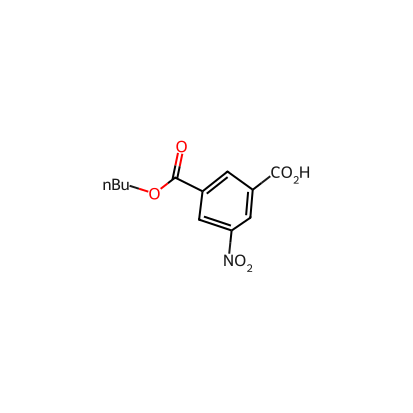 CCCCOC(=O)c1cc(C(=O)O)cc([N+](=O)[O-])c1